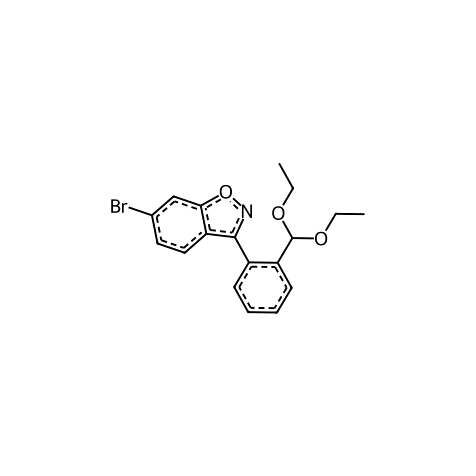 CCOC(OCC)c1ccccc1-c1noc2cc(Br)ccc12